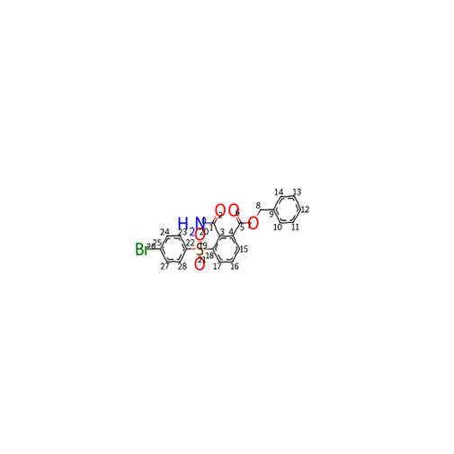 NC(=O)c1c(C(=O)OCc2ccccc2)cccc1S(=O)(=O)c1ccc(Br)cc1